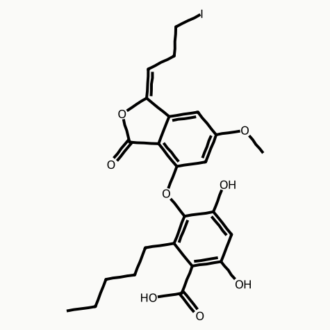 CCCCCc1c(Oc2cc(OC)cc3c2C(=O)O/C3=C/CCI)c(O)cc(O)c1C(=O)O